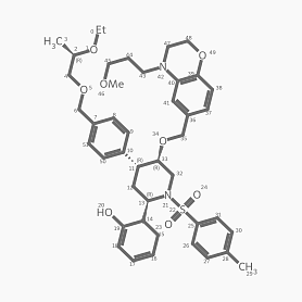 CCO[C@H](C)COCc1ccc([C@H]2C[C@H]([C]3CC=CC=C3O)N(S(=O)(=O)c3ccc(C)cc3)C[C@@H]2OCc2ccc3c(c2)N(CCCOC)CCO3)cc1